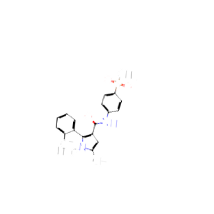 Cc1cc(C(=O)Nc2ccc(S(C)(=O)=O)cc2)c(-c2ccccc2C(F)(F)F)n1C